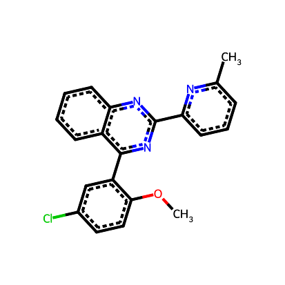 COc1ccc(Cl)cc1-c1nc(-c2cccc(C)n2)nc2ccccc12